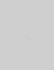 CC(O)C(=O)[O-].[Cl-].[K+].[Na+]